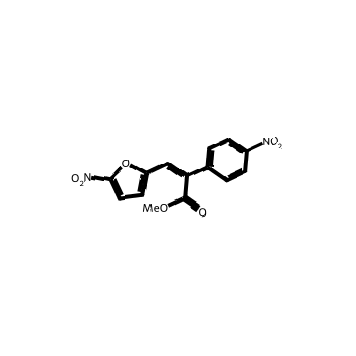 COC(=O)C(=Cc1ccc([N+](=O)[O-])o1)c1ccc([N+](=O)[O-])cc1